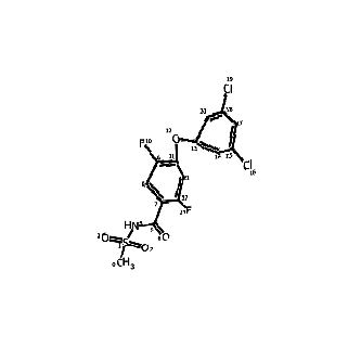 CS(=O)(=O)NC(=O)c1cc(F)c(Oc2cc(Cl)cc(Cl)c2)cc1F